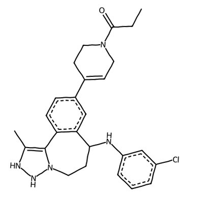 CCC(=O)N1CC=C(c2ccc3c(c2)C(Nc2cccc(Cl)c2)CCN2NNC(C)=C32)CC1